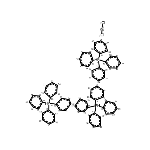 [Cl][Ru][Cl].c1ccc([PH](c2ccccc2)(c2ccccc2)c2ccccc2)cc1.c1ccc([PH](c2ccccc2)(c2ccccc2)c2ccccc2)cc1.c1ccc([PH](c2ccccc2)(c2ccccc2)c2ccccc2)cc1